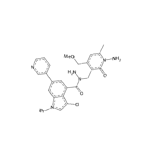 COCc1cc(C)n(N)c(=O)c1CN(N)C(=O)c1cc(-c2cccnc2)cc2c1c(Cl)cn2C(C)C